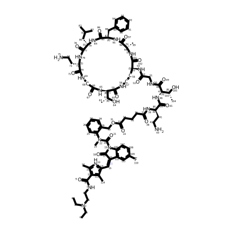 CCN(CC)CCNC(=O)c1c(C)[nH]c(/C=C2\C(=O)N(C(=O)N(C)c3ccccc3COC(=O)CCCC(=O)N[C@H](CCN)C(=O)N[C@H](C(=O)NCC(=O)N[C@H]3CCNC(=O)[C@@H]([C@@H](C)O)NC(=O)CNC(=O)[C@H](CCN)NC(=O)[C@H](CC(C)C)NC(=O)[C@@H](Cc4ccccc4)NC(=O)[C@H](C)NC3=O)[C@@H](C)O)c3ccc(F)cc32)c1C